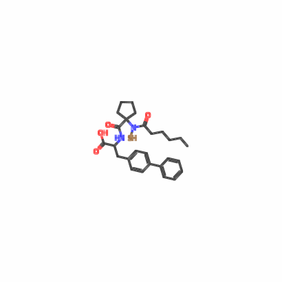 CCCCCC(=O)N(S)C1(C(=O)NC(Cc2ccc(-c3ccccc3)cc2)C(=O)O)CCCC1